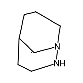 [CH]1C2CCCN1NCC2